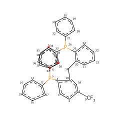 FC(F)(F)c1ccc(P(c2ccccc2)c2ccccc2)c(Cc2ccccc2P(c2ccccc2)c2ccccc2)c1